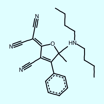 CC1(C)OC(=C(C#N)C#N)C(C#N)=C1c1ccccc1.CCCCNCCCC